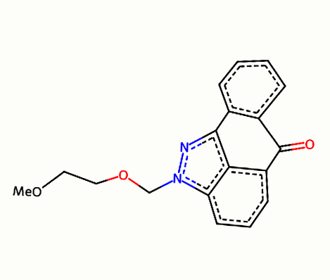 COCCOCn1nc2c3c(cccc31)C(=O)c1ccccc1-2